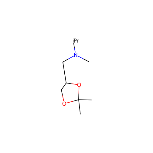 CC(C)N(C)CC1COC(C)(C)O1